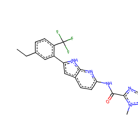 CCc1ccc(C(F)(F)F)c(-c2cc3ccc(NC(=O)c4ncnn4C)nc3[nH]2)c1